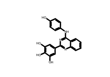 Oc1ccc(Nc2nc(-c3cc(O)c(O)c(O)c3)nc3ccccc23)cc1